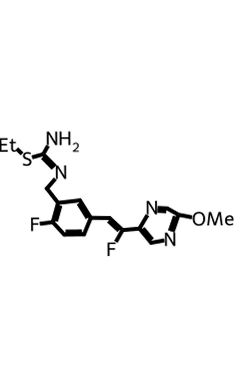 CCS/C(N)=N\Cc1cc(/C=C(\F)c2cnc(OC)cn2)ccc1F